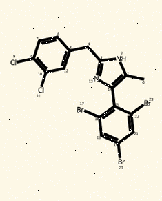 Cc1[nH]c(Cc2ccc(Cl)c(Cl)c2)nc1-c1c(Br)cc(Br)cc1Br